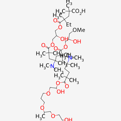 CCC(C)(CC(C)(C)C(=O)O)C(=O)OCC(O)COC(=O)C(C)(C)CC(C)(CC(C)(CC(C)(CCC(C)(C)C(=O)OC(O)COCCCOC(C)COCCO)N(C)C)C(=O)OCC(O)COC)N(C)C